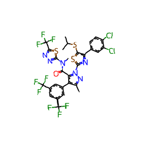 Cc1nn(-c2nc(-c3ccc(Cl)c(Cl)c3)c(SC(C)C)s2)c(C(=O)N(C)c2nnc(C(F)(F)F)s2)c1-c1cc(C(F)(F)F)cc(C(F)(F)F)c1